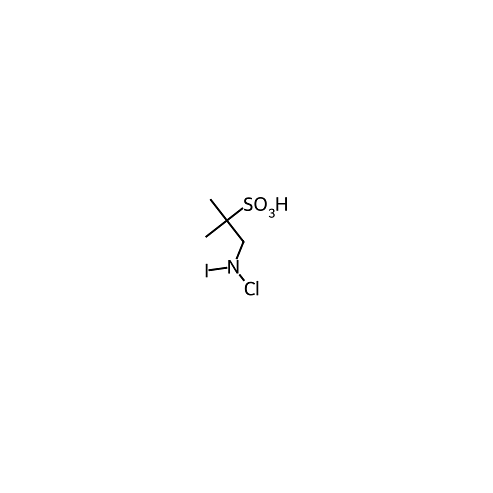 CC(C)(CN(Cl)I)S(=O)(=O)O